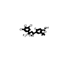 CC1(C)OB(O)c2cc(F)c(C3=NOC(c4cc(Cl)c(Cl)c(Cl)c4)(C(F)(F)F)C3)cc21